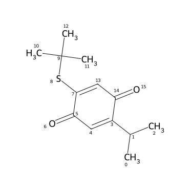 CC(C)C1=CC(=O)C(SC(C)(C)C)=CC1=O